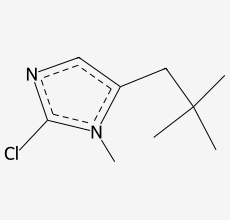 Cn1c(CC(C)(C)C)cnc1Cl